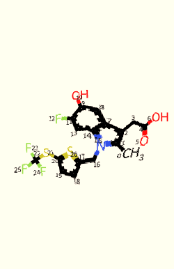 Cc1c(CC(=O)O)c2cc(O)c(F)cc2n1Cc1ccc(SC(F)(F)F)s1